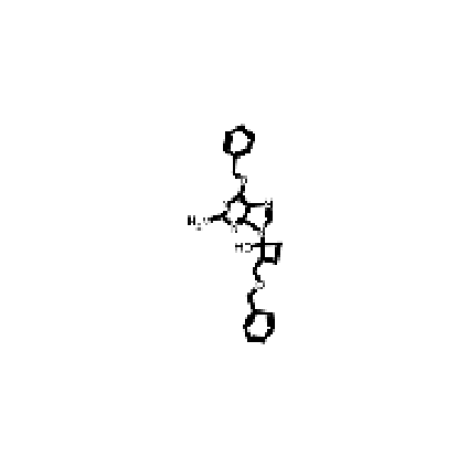 Nc1nc(OCc2ccccc2)c2ncn(C3(O)CCC3COCc3ccccc3)c2n1